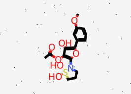 COc1cccc(-c2oc(N3CCCS3(O)O)c(OC(C)=O)c2O)c1